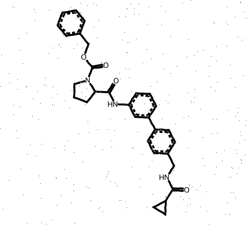 O=C(NCc1ccc(-c2cccc(NC(=O)C3CCCN3C(=O)OCc3ccccc3)c2)cc1)C1CC1